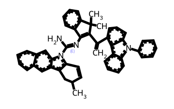 C=C(C1=C(/N=C(\N)n2c3c(c4cc5ccccc5cc42)CC(C)C=C3)c2ccccc2C1(C)C)c1cccc2c1c1ccccc1n2-c1ccccc1